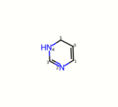 C1=CN=CNC1